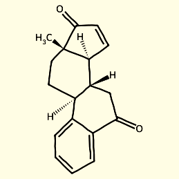 C[C@]12CC[C@@H]3c4ccccc4C(=O)C[C@H]3[C@@H]1C=CC2=O